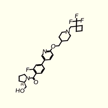 O=C(c1ccc(-c2ccc(OCC3CCN(CC4(C(F)(F)F)CCC4)CC3)nc2)cc1F)N1CCC[C@@H]1CO